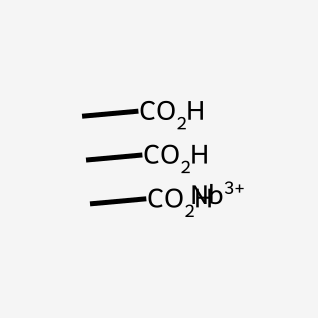 CC(=O)O.CC(=O)O.CC(=O)O.[Nb+3]